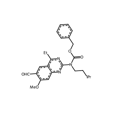 CCc1nc(N(CCC(C)C)C(=O)OCc2ccccc2)nc2cc(OC)c(C=O)cc12